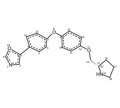 c1ncc(-c2ccc(Oc3ccc(OC[C@@H]4CCCN4)cc3)cc2)o1